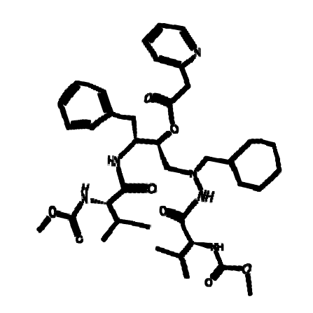 COC(=O)N[C@H](C(=O)N[C@@H](Cc1ccccc1)[C@H](CN(CC1CCCCC1)NC(=O)[C@@H](NC(=O)OC)C(C)C)OC(=O)Cc1ccccn1)C(C)C